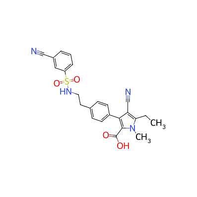 CCc1c(C#N)c(-c2ccc(CCNS(=O)(=O)c3cccc(C#N)c3)cc2)c(C(=O)O)n1C